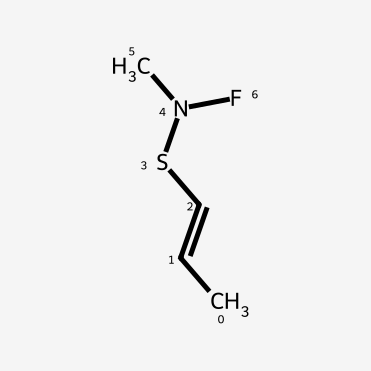 CC=CSN(C)F